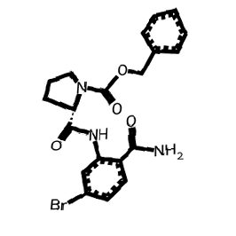 NC(=O)c1ccc(Br)cc1NC(=O)[C@@H]1CCCN1C(=O)OCc1ccccc1